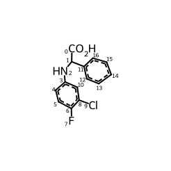 O=C(O)C(Nc1ccc(F)c(Cl)c1)c1ccccc1